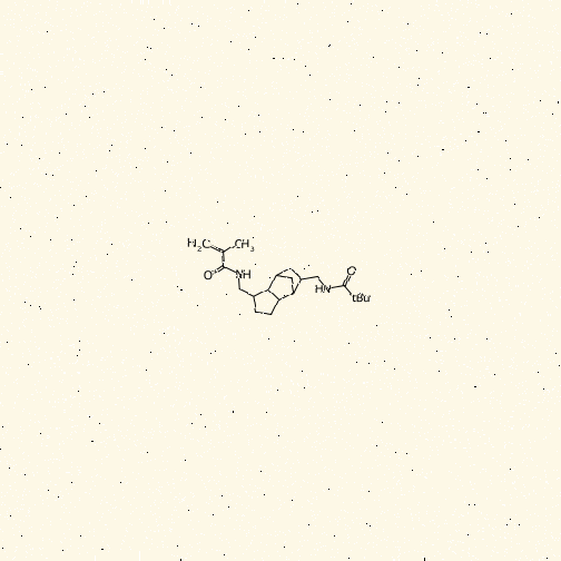 C=C(C)C(=O)NCC1CCC2C3CC(CC3CNC(=O)C(C)(C)C)C12